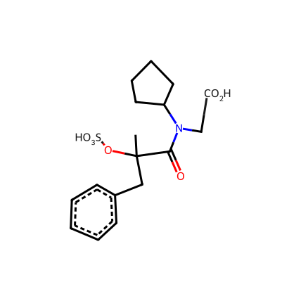 CC(Cc1ccccc1)(OS(=O)(=O)O)C(=O)N(CC(=O)O)C1CCCC1